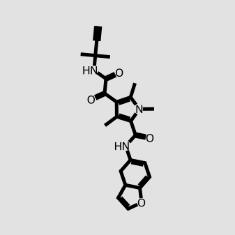 C#CC(C)(C)NC(=O)C(=O)c1c(C)c(C(=O)NC2=CC=C3OC=CC3C2)n(C)c1C